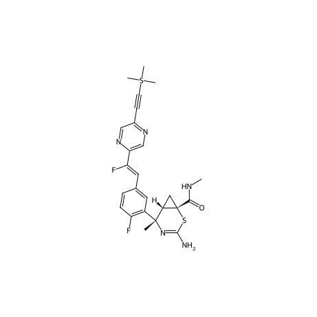 CNC(=O)[C@]12C[C@H]1[C@@](C)(c1cc(/C=C(\F)c3cnc(C#CS(C)(C)C)cn3)ccc1F)N=C(N)S2